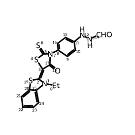 CCN1C(=C2SC(=S)N(c3ccc(NNC=O)cc3)C2=O)Sc2ccccc21